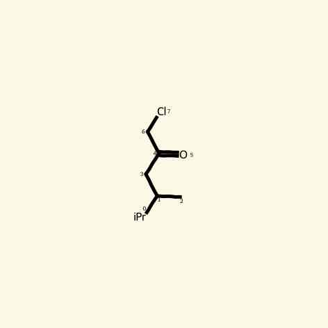 CC(C)C(C)CC(=O)CCl